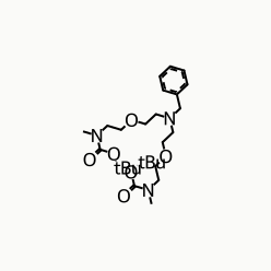 CN(CCOCCN(CCOCCN(C)C(=O)OC(C)(C)C)Cc1ccccc1)C(=O)OC(C)(C)C